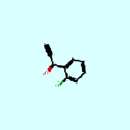 C#CC(=O)c1ccccc1Cl